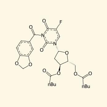 CCCCC(=O)OC[C@H]1O[C@@H](n2cc(F)c(=O)n(C(=O)c3ccc4c(c3)OCO4)c2=O)C[C@@H]1OC(=O)CCCC